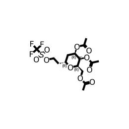 CC(=O)OC[C@H]1O[C@H](CCOS(=O)(=O)C(F)(F)F)C[C@@H](OC(C)=O)[C@H]1OC(C)=O